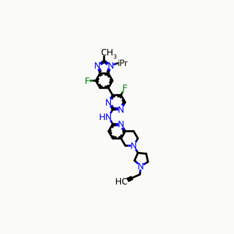 C#CCN1CCC(N2CCc3nc(Nc4ncc(F)c(-c5cc(F)c6nc(C)n(C(C)C)c6c5)n4)ccc3C2)C1